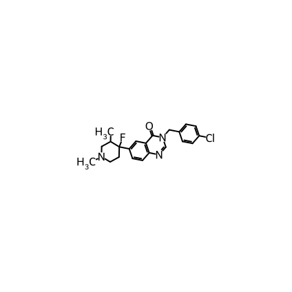 CC1CN(C)CCC1(F)c1ccc2ncn(Cc3ccc(Cl)cc3)c(=O)c2c1